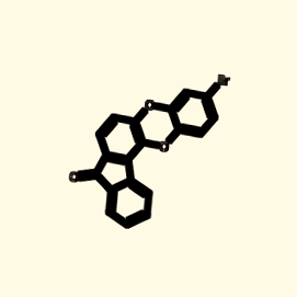 O=c1c2ccccc2c2c1ccc1oc3cc(Br)ccc3oc12